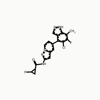 Cc1c(F)c(Cl)c(-c2ccn3nc(NC(=O)C4CC4F)cc3c2)c2cn[nH]c12